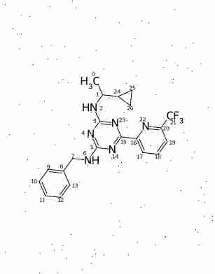 CC(Nc1nc(NCc2ccccc2)nc(-c2cccc(C(F)(F)F)n2)n1)C1CC1